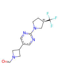 O=CN1CC(c2cnc(N3CC[C@@H](C(F)(F)F)C3)nc2)C1